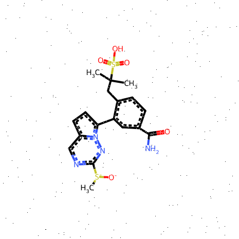 C[S+]([O-])c1ncc2ccc(-c3cc(C(N)=O)ccc3CC(C)(C)S(=O)(=O)O)n2n1